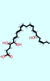 CC/C=C\C[C@H](O)/C=C/C=C\C\C=C/C=C/C=C/C(O)C(O)CCC(=O)O